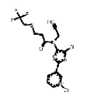 C#CCN(C(=O)CCSCC(F)(F)F)c1sc(-c2ccc[n+]([O-])c2)nc1Cl